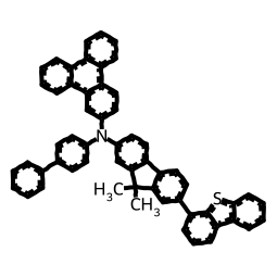 CC1(C)c2cc(-c3cccc4c3sc3ccccc34)ccc2-c2ccc(N(c3ccc(-c4ccccc4)cc3)c3ccc4c5ccccc5c5ccccc5c4c3)cc21